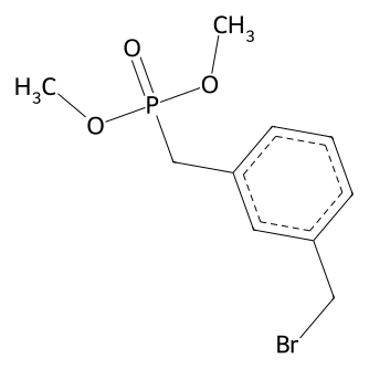 COP(=O)(Cc1cccc(CBr)c1)OC